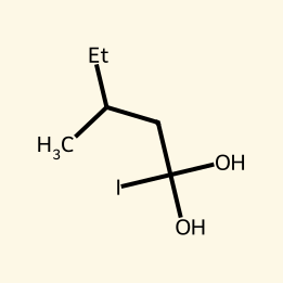 CCC(C)CC(O)(O)I